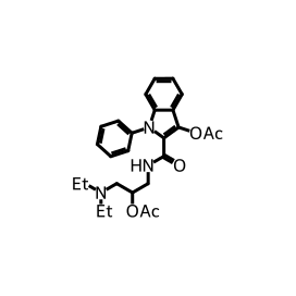 CCN(CC)CC(CNC(=O)c1c(OC(C)=O)c2ccccc2n1-c1ccccc1)OC(C)=O